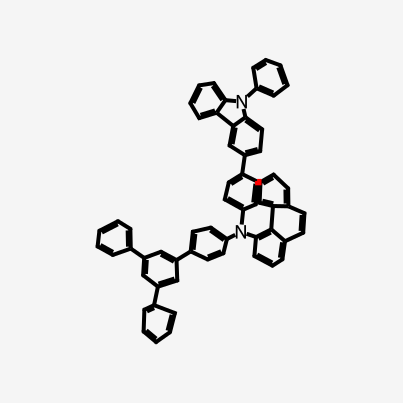 c1ccc(-c2cc(-c3ccccc3)cc(-c3ccc(N(c4ccc(-c5ccc6c(c5)c5ccccc5n6-c5ccccc5)cc4)c4cccc5ccc6ccccc6c45)cc3)c2)cc1